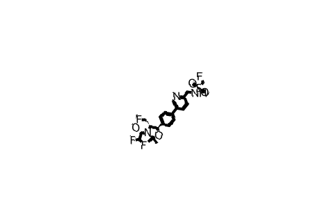 CC1(C)O[C@H](c2ccc(-c3ccc(CNS(=O)(=O)CF)nc3)cc2)[C@@H](CF)N1C(=O)C(F)F